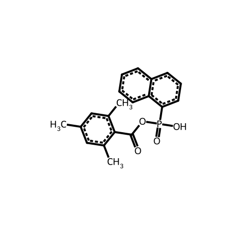 Cc1cc(C)c(C(=O)OP(=O)(O)c2cccc3ccccc23)c(C)c1